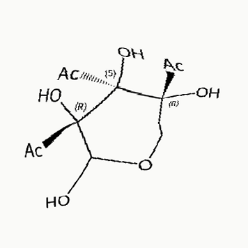 CC(=O)[C@]1(O)[C@@](O)(C(C)=O)COC(O)[C@@]1(O)C(C)=O